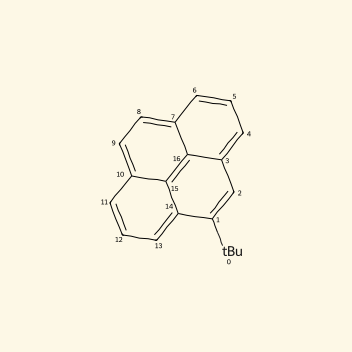 CC(C)(C)c1cc2cccc3ccc4cccc1c4c32